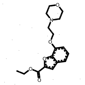 CCOC(=O)c1cc2cccc(OCCN3CCOCC3)c2o1